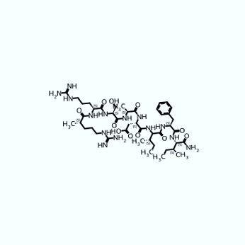 CC[C@H](C)C(NC(=O)[C@H](CC(=O)O)NC(=O)[C@H](C)NC(=O)[C@H](CO)NC(=O)[C@H](CCCNC(=N)N)NC(=O)[C@@H](C)CCCNC(=N)N)C(=O)N[C@@H](Cc1ccccc1)C(=O)N[C@H](C(N)=O)[C@@H](C)CC